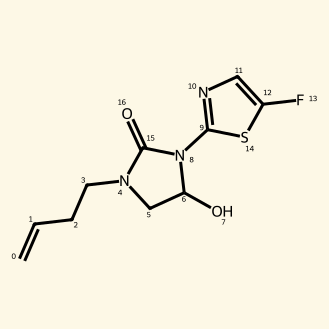 C=CCCN1CC(O)N(c2ncc(F)s2)C1=O